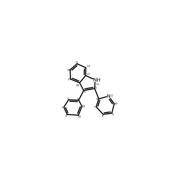 c1ccc(-c2c(-c3ccccn3)[nH]c3ccccc23)cc1